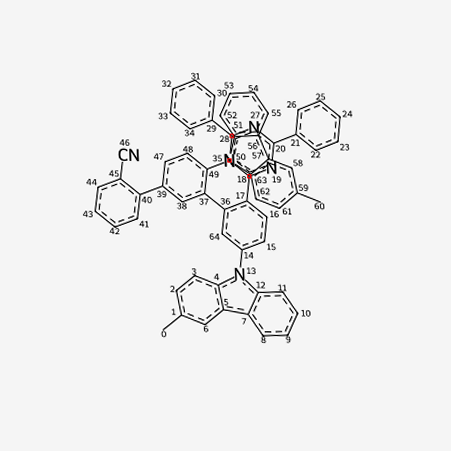 Cc1ccc2c(c1)c1ccccc1n2-c1ccc(-c2nc(-c3ccccc3)nc(-c3ccccc3)n2)c(-c2cc(-c3ccccc3C#N)ccc2-n2c3ccccc3c3cc(C)ccc32)c1